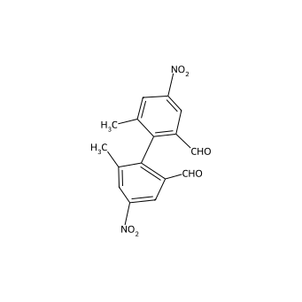 Cc1cc([N+](=O)[O-])cc(C=O)c1-c1c(C)cc([N+](=O)[O-])cc1C=O